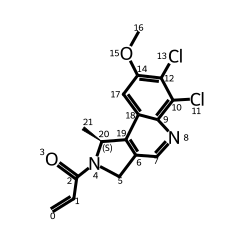 C=CC(=O)N1Cc2cnc3c(Cl)c(Cl)c(OC)cc3c2[C@@H]1C